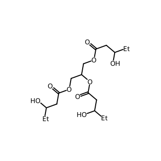 CCC(O)CC(=O)OCC(COC(=O)CC(O)CC)OC(=O)CC(O)CC